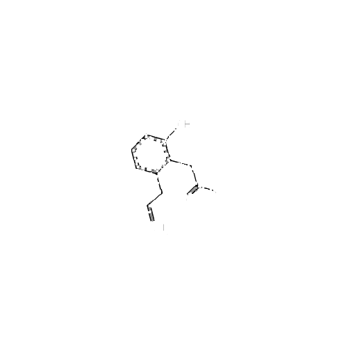 C=CCc1cccc(C)c1CC([O])=O